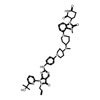 C=CCn1c(=O)c2cnc(Nc3ccc(N4CCC(N(C)C5CCN(c6cccc7c6n(C)c(=O)n7C6CCC(=O)NC6=O)CC5)CC4)cc3)nc2n1-c1cccc(C(C)(C)O)n1